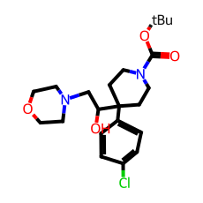 CC(C)(C)OC(=O)N1CCC(c2ccc(Cl)cc2)(C(O)CN2CCOCC2)CC1